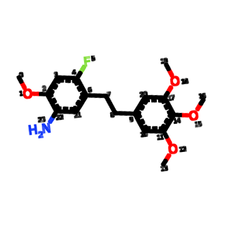 COc1cc(F)c(CCc2cc(OC)c(OC)c(OC)c2)cc1N